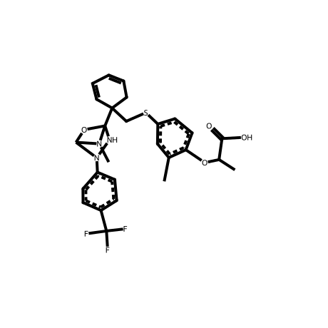 Cc1cc(SCC2(C34NN(c5ccc(C(F)(F)F)cc5)C(O3)N4C)C=CC=CC2)ccc1OC(C)C(=O)O